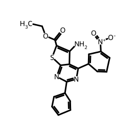 CCOC(=O)c1sc2nc(-c3ccccc3)nc(-c3cccc([N+](=O)[O-])c3)c2c1N